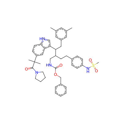 Cc1cc(C)cc(CC(c2c[nH]c3ccc(C(C)(C)C(=O)N4CCCC4)cc23)C(CCc2ccc(NS(C)(=O)=O)cc2)CNC(=O)OCc2ccccc2)c1